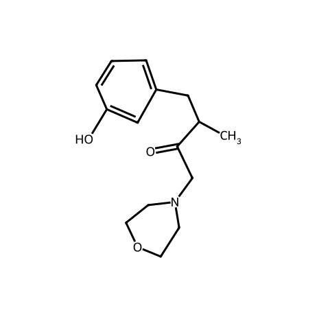 CC(Cc1cccc(O)c1)C(=O)CN1CCOCC1